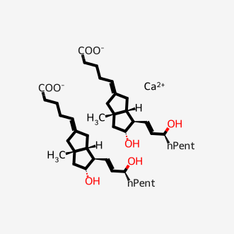 CCCCC[C@H](O)/C=C/[C@H]1[C@H](O)C[C@]2(C)C/C(=C\CCCC(=O)[O-])C[C@H]12.CCCCC[C@H](O)/C=C/[C@H]1[C@H](O)C[C@]2(C)C/C(=C\CCCC(=O)[O-])C[C@H]12.[Ca+2]